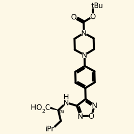 CC(C)C[C@H](Nc1nonc1-c1ccc(N2CCN(C(=O)OC(C)(C)C)CC2)cc1)C(=O)O